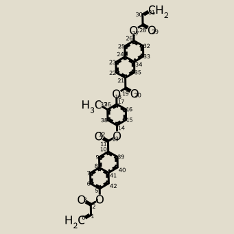 C=CC(=O)Oc1ccc2cc(C(=O)Oc3ccc(OC(=O)c4ccc5cc(OC(=O)C=C)ccc5c4)c(C)c3)ccc2c1